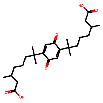 CC(CCCC(C)(C)C1=CC(=O)C(C(C)(C)CCCC(C)CC(=O)O)=CC1=O)CC(=O)O